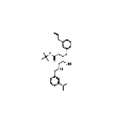 C=CCc1cccc(C[C@H](NC(=O)OC(C)(C)C)[C@@H](O)CNCc2cccc(C(C)C)c2)c1